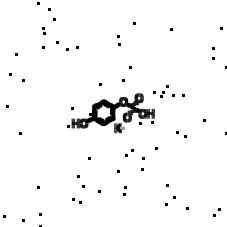 O=S(=O)(O)Oc1ccc(O)cc1.[K]